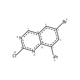 CC(C)c1cc(Br)cc2cnc(Cl)nc12